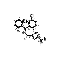 C[C@@H]1N=C(c2c(F)cccc2F)c2c(ccc(Cl)c2Cl)-n2nc(C(F)F)nc21